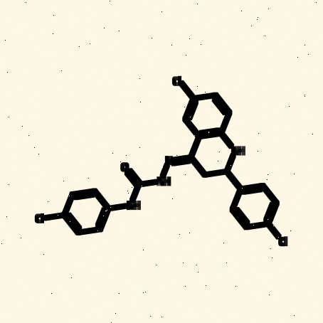 O=C(NN=C1CC(c2ccc(Cl)cc2)Nc2ccc(Cl)cc21)Nc1ccc(Cl)cc1